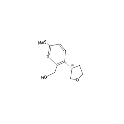 CSc1ccc([C@@H]2CCOC2)c(CO)n1